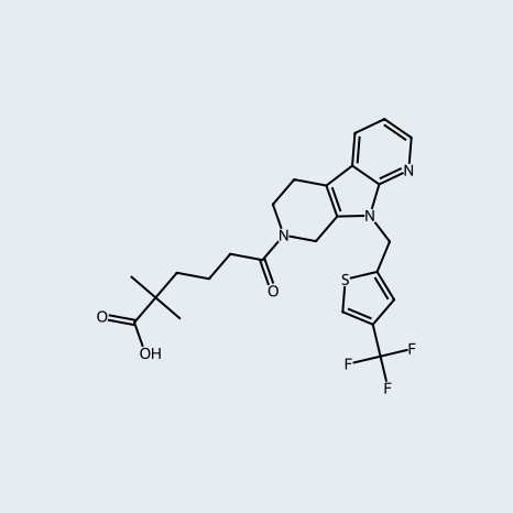 CC(C)(CCCC(=O)N1CCc2c(n(Cc3cc(C(F)(F)F)cs3)c3ncccc23)C1)C(=O)O